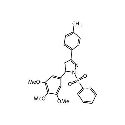 COc1cc(C2CC(c3ccc(C)cc3)=NN2S(=O)(=O)c2ccccc2)cc(OC)c1OC